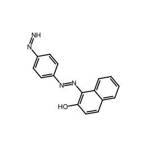 N=Nc1ccc(/N=N/c2c(O)ccc3ccccc23)cc1